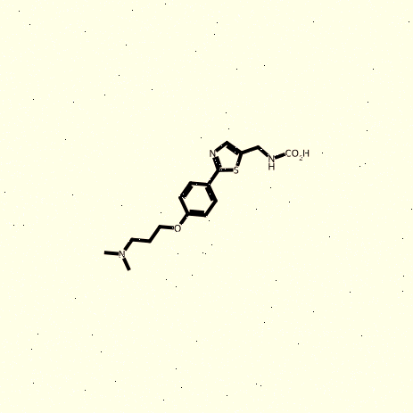 CN(C)CCCOc1ccc(-c2ncc(CNC(=O)O)s2)cc1